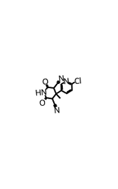 CC1(c2ccc(Cl)nc2)C(C#N)C(=O)NC(=O)C1C#N